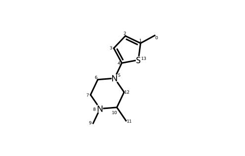 Cc1ccc(N2CCN(C)C(C)C2)s1